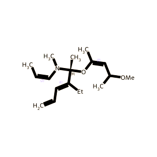 C=C/C=C(\CC)[C@@](C)(O/C(C)=C\C(C)OC)N(C)/C=C\C